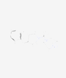 O=C(O)C(N1CCNCC1)N1CCC(Cc2ccccc2)CC1